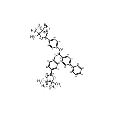 CC1(C)OB(c2ccc(OC(Oc3ccc(B4OC(C)(C)C(C)(C)O4)cc3)c3ccc(-c4ccccc4)cc3)cc2)OC1(C)C